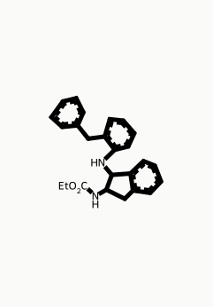 CCOC(=O)NC1Cc2ccccc2C1Nc1ccccc1Cc1ccccc1